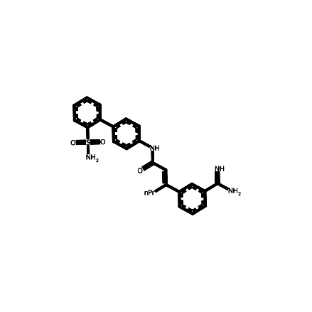 CCC/C(=C\C(=O)Nc1ccc(-c2ccccc2S(N)(=O)=O)cc1)c1cccc(C(=N)N)c1